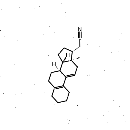 C[C@]12CC=C3C4=C(CCCC4)CC[C@H]3[C@@H]1CC[C@@H]2CC#N